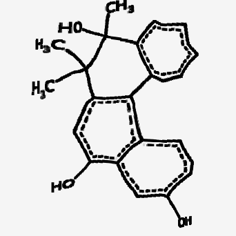 CC1(C)c2cc(O)c3cc(O)ccc3c2-c2ccccc2C1(C)O